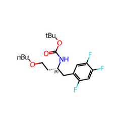 CCCCOCC[C@@H](Cc1cc(F)c(F)cc1F)NC(=O)OC(C)(C)C